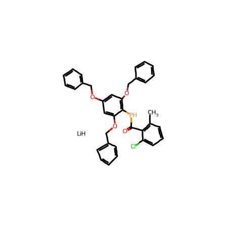 Cc1cccc(Cl)c1C(=O)Pc1c(OCc2ccccc2)cc(OCc2ccccc2)cc1OCc1ccccc1.[LiH]